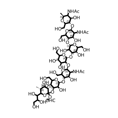 CC(=O)NC1[C@H](O[C@@H]2C(CO)O[C@@H](C)C(NC(C)=O)[C@H]2O)OC(CO)[C@@H](O[C@@H]2OC(CO)[C@@H](O)[C@H](O[C@H]3OC(CO)[C@@H](O)C(O)C3O[C@@H]3OC(CO)[C@@H](O[C@@H]4OC(CO)[C@H](O)[C@H](O[C@]5(OC=O)C[C@@H](O)[C@@H](C)C(C(O)C(O)CO)O5)C4O)[C@H](O)C3NC(C)=O)C2O)[C@@H]1O